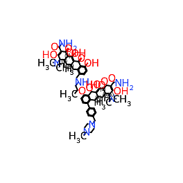 CC(CNCc1ccc(O)c2c1C[C@H]1C[C@H]3C(N(C)C)C(O)=C(C(N)=O)C(=O)[C@@]3(O)C(O)=C1C2=O)Oc1ccc(-c2ccc(CN3CCN(C)CC3)cc2)c2c1C(=O)C1=C(O)[C@]3(O)C(=O)C(C(N)=O)=C(O)[C@@H](N(C)C)[C@@H]3C[C@@H]1C2